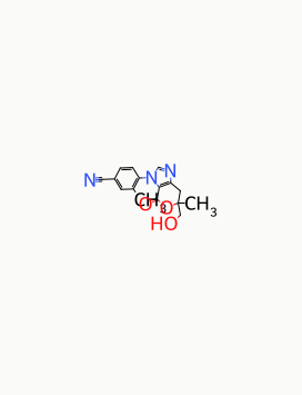 Cc1cc(C#N)ccc1-n1cnc2c1C(=O)OC(C)(CO)C2